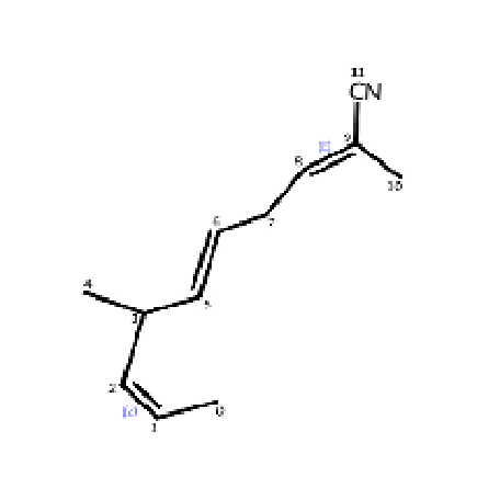 C/C=C\C(C)C=CC/C=C(\C)C#N